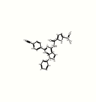 N#Cc1ccc(-c2nc(NC(=O)c3ccc([N+](=O)[O-])s3)c3cnn(-c4ccccc4)c3n2)cn1